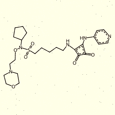 O=c1c(NCCCCCS(=O)(=O)N(OCCN2CCOCC2)C2CCCC2)c(Nc2ccncc2)c1=O